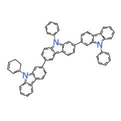 C1=CCCC(n2c3ccccc3c3ccc(-c4ccc5c(c4)c4ccc(-c6ccc7c8ccccc8n(-c8ccccc8)c7c6)cc4n5-c4ccccc4)cc32)=C1